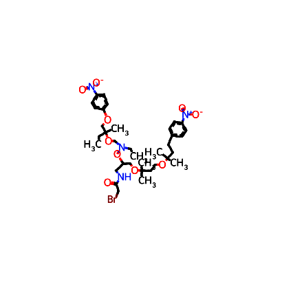 CCN(COC(C)(CC)COc1ccc([N+](=O)[O-])cc1)OC(CNC(=O)CBr)COC(C)(C)CCOC(C)(C)CCc1ccc([N+](=O)[O-])cc1